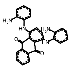 Nc1ccccc1Nc1ccc(Nc2ccccc2N)c2c1C(=O)c1ccccc1C2=O